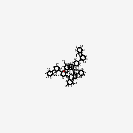 C=C1c2c(C)cc(C)cc2N2c3ccc(-c4cccc5c4oc4ccccc45)cc3N(c3ccccc3)C2C12C1(CC)c3ccccc3N3c4cc(-c5cccc6c5oc5ccccc56)ccc4N(c4cc(C)cc(C)c4)C3C12CC